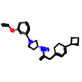 C=C(CC1=CC=C(C2CCC2)CC1)N[C@@H]1CCN(c2cccc(OC(C)(C)C)c2)C1